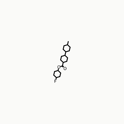 CC1CCC(C2CCC(C(=O)OC3CCC(F)CC3)CC2)CC1